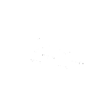 COC[C@@H](c1ccc(F)cc1)C(C)(C)C